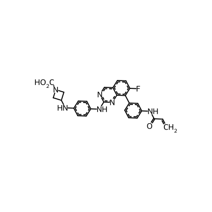 C=CC(=O)Nc1cccc(-c2c(F)ccc3cnc(Nc4ccc(NC5CN(C(=O)O)C5)cc4)nc23)c1